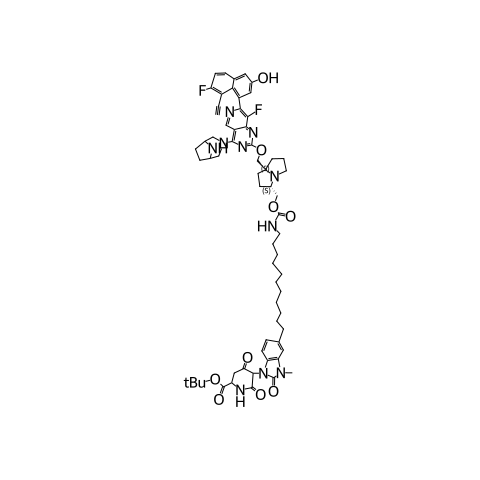 C#Cc1c(F)ccc2cc(O)cc(-c3ncc4c(N5CC6CCC(C5)N6)nc(OC[C@@]56CCCN5[C@H](COC(=O)NCCCCCCCCCCCc5ccc7c(c5)n(C)c(=O)n7C5C(=O)CC(C(=O)OC(C)(C)C)NC5=O)CC6)nc4c3F)c12